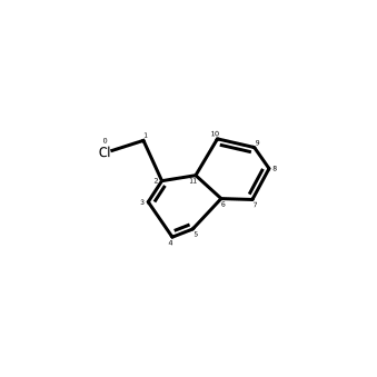 ClCC1=CC=CC2C=CC=CC12